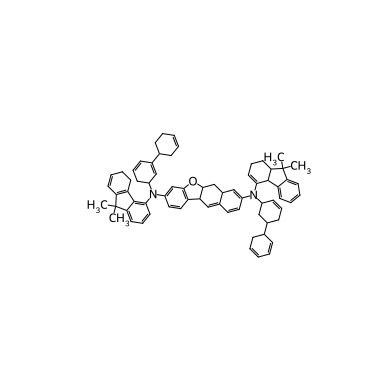 CC1(C)C2=C(CCC=C2)c2c(N(c3ccc4c(c3)OC3CC5C=C(N(C6=CCCC7C6c6ccccc6C7(C)C)C6C=CCC(C7C=CC=CC7)C6)C=CC5=CC43)C3C=C(C4CC=CCC4)C=CC3)cccc21